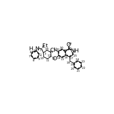 CC[C@@H](N)[C@]1(c2ccccc2)CC[C@@H](Oc2cc3c(Cc4ccccc4)c[nH]c(=O)c3cc2Cl)CC1